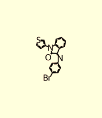 O=C1C(=Nc2ccc(Br)cc2)c2ccccc2N1c1ccsc1